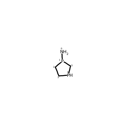 NP1CCPC1